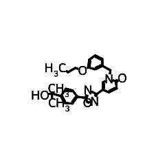 CCCOc1cccc(Cn2cc(-c3noc(-c4ccc(C(C)(C)O)cc4)n3)ccc2=O)c1